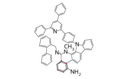 CN(/C(=N\Cc1ccccc1-c1ccccc1)c1ccccc1)c1c(-c2ccccc2N)ccc2c3ccccc3n(-c3ccc(-c4cc(-c5ccccc5)cc(-c5ccccc5)n4)cc3)c12